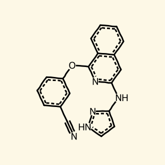 N#Cc1cccc(Oc2nc(Nc3cc[nH]n3)cc3ccccc23)c1